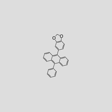 c1ccc(-c2c3ccccc3c(-c3ccc4c(c3)OCO4)c3ccccc23)cc1